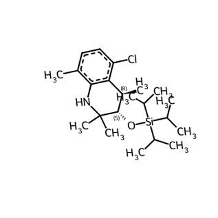 Cc1ccc(Cl)c2c1NC(C)(C)[C@@H](O[Si](C(C)C)(C(C)C)C(C)C)[C@@H]2C